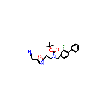 CC(C)(C)OC(=O)N(CCc1ncc(CC#N)o1)Cc1ccc(-c2ccccc2)c(Cl)c1